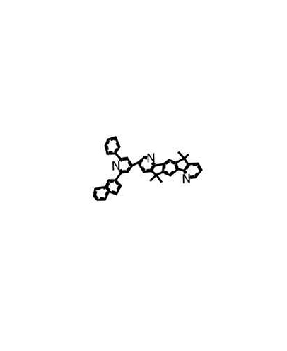 CC1(C)c2cc3c(cc2-c2ncccc21)C(C)(C)c1cc(-c2cc(-c4ccccc4)nc(-c4ccc5ccccc5c4)c2)cnc1-3